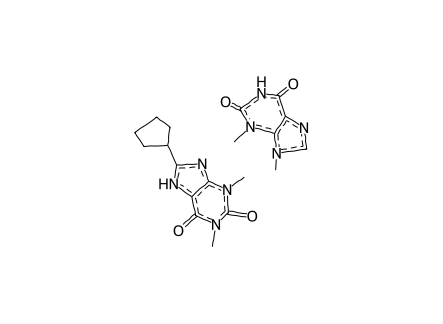 Cn1c(=O)c2[nH]c(C3CCCC3)nc2n(C)c1=O.Cn1cnc2c(=O)[nH]c(=O)n(C)c21